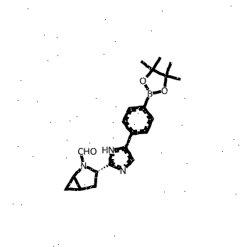 CC1(C)OB(c2ccc(-c3cnc([C@@H]4CC5CC5N4C=O)[nH]3)cc2)OC1(C)C